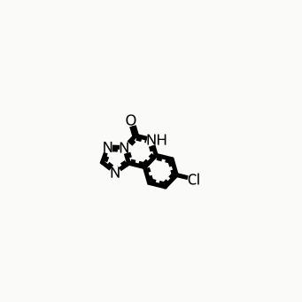 O=c1[nH]c2cc(Cl)ccc2c2ncnn12